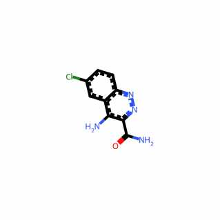 NC(=O)c1nnc2ccc(Cl)cc2c1N